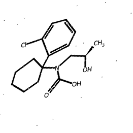 C[C@@H](O)CN(C(=O)O)C1(c2ccccc2Cl)CCCCC1